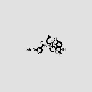 CNc1cc(C(=O)NC(CC2CC2)C(=O)N2CCC[C@@]3(C2)OC(=O)Nc2ccc(Cl)c(F)c23)ccn1